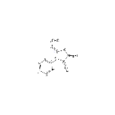 CCN1C/C(=C\C=O)C(c2ccccc2)C1=O